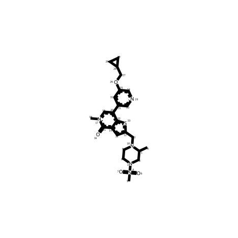 CC1CN(S(C)(=O)=O)CCN1Cc1cc2c(=O)n(C)cc(-c3cncc(OCC4CC4)c3)c2s1